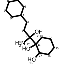 NC(O)(CCC1CCCCC1)C1(O)CCCCC1O